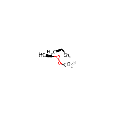 C#COOC(=O)O.C=CC